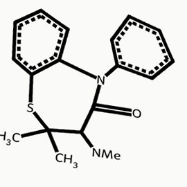 CNC1C(=O)N(c2ccccc2)c2ccccc2SC1(C)C